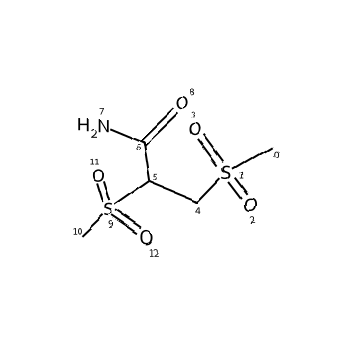 CS(=O)(=O)CC(C(N)=O)S(C)(=O)=O